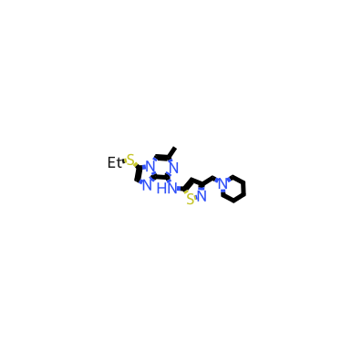 CCSc1cnc2c(Nc3cc(CN4CCCCC4)ns3)nc(C)cn12